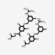 CC(C)Nc1cc(F)cc(COc2c(Cl)cc(C(=O)NCC(=O)O)cc2Cl)c1.CC(C)Nc1cc(F)cc(COc2c(Cl)cc(CC(=O)O)cc2Cl)c1